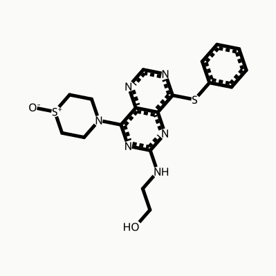 [O-][S+]1CCN(c2nc(NCCO)nc3c(Sc4ccccc4)ncnc23)CC1